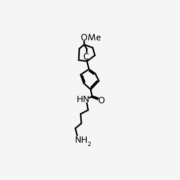 COC12CCC(c3ccc(C(=O)NCCCCN)cc3)(CC1)CC2